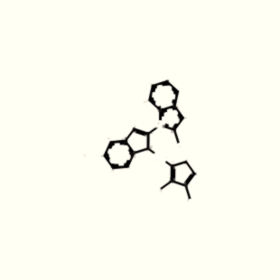 CC1=CC[C]([Zr+2][CH]2C(n3c(C)cc4ccccc43)=Cc3ccccc32)=C1C.[F-].[F-]